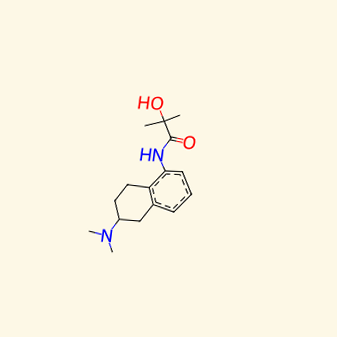 CN(C)C1CCc2c(cccc2NC(=O)C(C)(C)O)C1